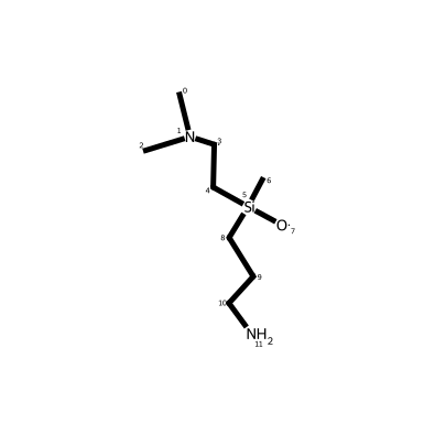 CN(C)[CH]C[Si](C)([O])CCCN